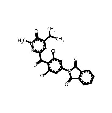 CC(C)c1cc(C(=O)c2c(Cl)cc(N3C(=O)c4ccccc4C3=O)cc2Cl)nn(C)c1=O